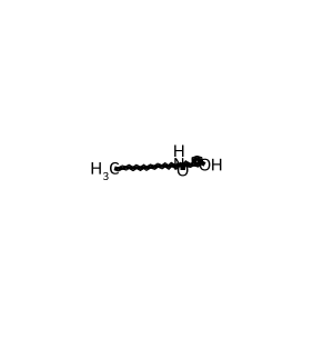 CCCCCCCCCCCCCCCCCCNC(=O)C=Cc1cccc(O)c1